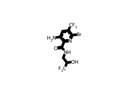 Nc1cc(C(F)(F)F)c(Br)nc1C(=O)NCC(O)C(F)(F)F